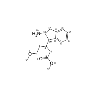 COCCC(CC(=O)OC)C1c2ccccc2CC1N